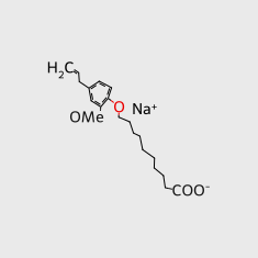 C=CCc1ccc(OCCCCCCCCCC(=O)[O-])c(OC)c1.[Na+]